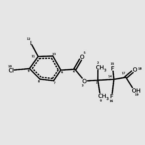 CC(C)(OC(=O)c1ccc(Cl)c(I)c1)C(F)(F)C(=O)O